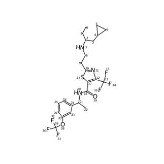 CCC(CC1CC1)NCCc1nc(C(F)(F)F)c(C(=O)NC(C)c2cccc(OC(F)(F)F)c2)s1